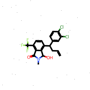 C=CCC(c1ccc(Cl)c(Cl)c1)c1ccc(C(F)(F)F)c2c1C(O)N(C)C2=O